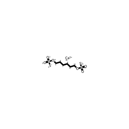 O=S(=O)([S-])OCCCCCCOS(=O)(=O)[S-].[Ca+2]